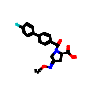 CON=C1C[C@@H](C(=O)O)N(C(=O)c2ccc(-c3ccc(F)cc3)cc2)C1